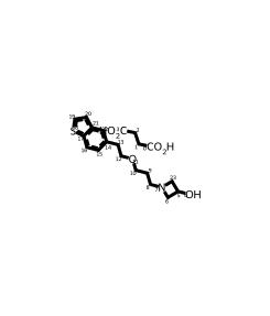 O=C(O)CCC(=O)O.OC1CN(CCCOCCc2ccc3sccc3c2)C1